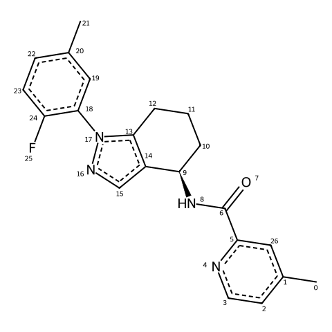 Cc1ccnc(C(=O)N[C@@H]2CCCc3c2cnn3-c2cc(C)ccc2F)c1